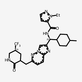 CCn1nccc1C(=O)N[C@H](c1cn2nc(CC3C[C@H](C(F)(F)F)CNC3=O)ccc2n1)C1CCC(C)CC1